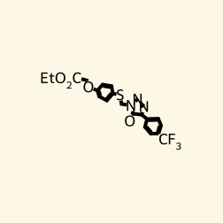 CCOC(=O)COc1ccc(SCN2N=NC(c3ccc(C(F)(F)F)cc3)C2=O)cc1